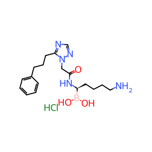 Cl.NCCCC[C@H](NC(=O)Cn1ncnc1CCCc1ccccc1)B(O)O